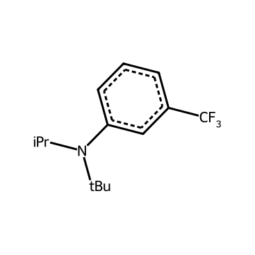 CC(C)N(c1cccc(C(F)(F)F)c1)C(C)(C)C